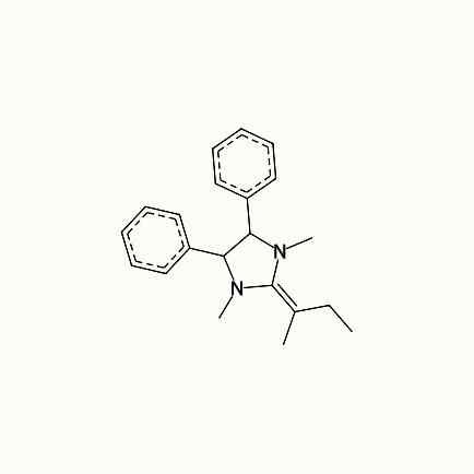 CCC(C)=C1N(C)C(c2ccccc2)C(c2ccccc2)N1C